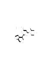 CC1COCCN1c1cc(N)nc(-c2cncc3[nH]ccc23)n1